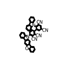 N#Cc1cc(C#N)c(-n2c3ccccc3c3ccccc32)c(-c2ccc(-n3c4ccccc4c4cc5oc6ccccc6c5cc43)c(C#N)c2C#N)c1